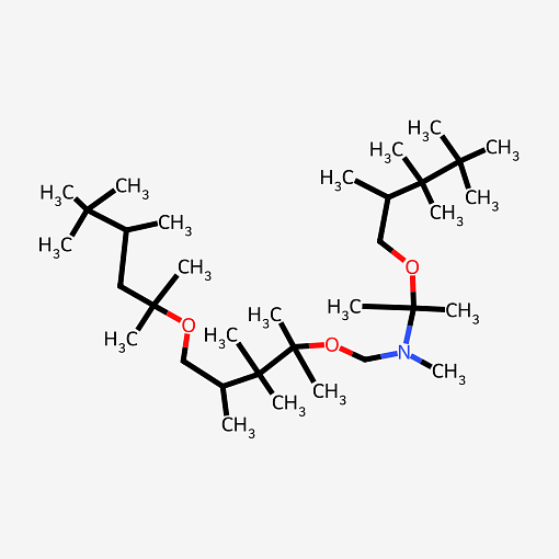 CC(CC(C)(C)OCC(C)C(C)(C)C(C)(C)OCN(C)C(C)(C)OCC(C)C(C)(C)C(C)(C)C)C(C)(C)C